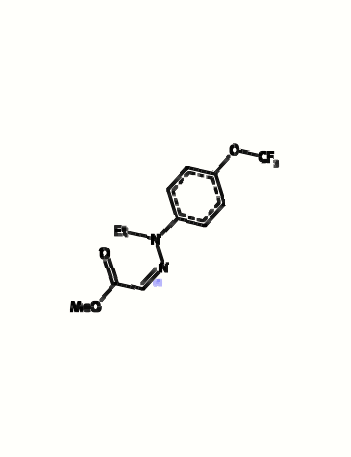 CCN(/N=C\C(=O)OC)c1ccc(OC(F)(F)F)cc1